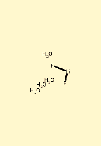 O.O.O.O.[F][Li][F]